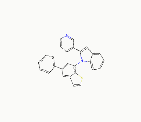 c1ccc(-c2cc(-n3c(-c4cccnc4)cc4ccccc43)c3sccc3c2)cc1